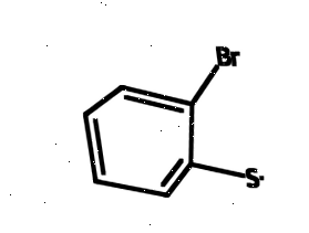 [S]c1ccccc1Br